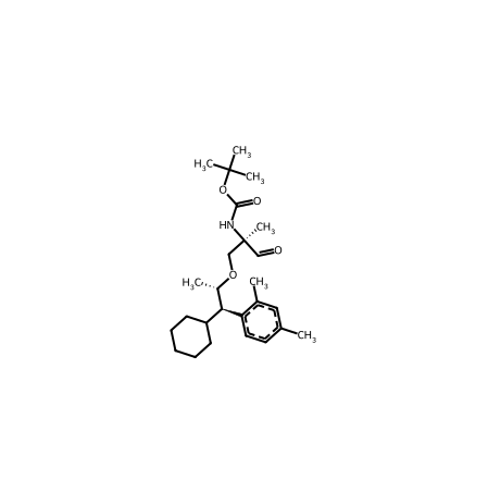 Cc1ccc([C@@H](C2CCCCC2)[C@H](C)OC[C@](C)(C=O)NC(=O)OC(C)(C)C)c(C)c1